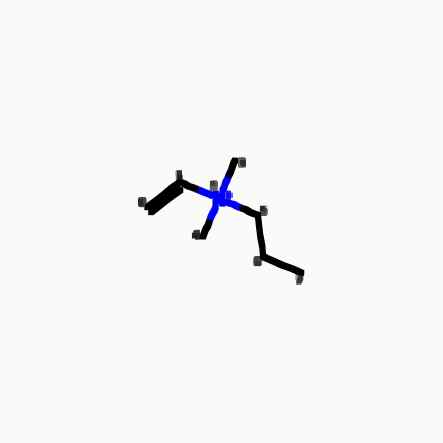 C=C[N+](C)(C)CCC